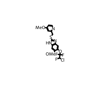 COc1ccnc(CSc2nc3cc(OC(F)(F)C(F)Cl)c(OC)cc3[nH]2)c1